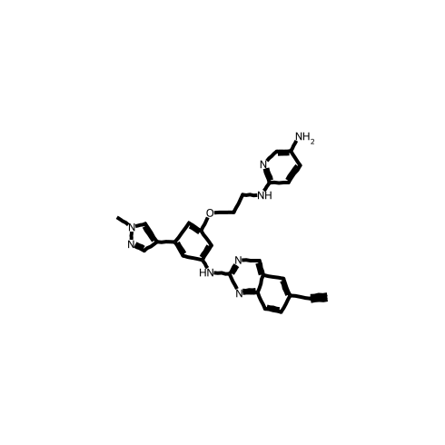 C#Cc1ccc2nc(Nc3cc(OCCNc4ccc(N)cn4)cc(-c4cnn(C)c4)c3)ncc2c1